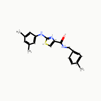 Cc1cc(C)cc(Nc2nc(C(=O)NCc3ccc([N+](=O)[O-])cc3)cs2)c1